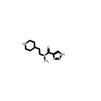 CN(CCC1CCNCC1)C(=O)c1c[nH]nn1